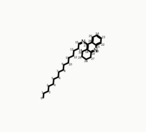 CCCCCCCCCCCCCCC/C=N\c1c2c(nc3ccccc13)CCCC2